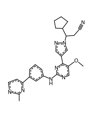 COc1cnc(Nc2cccc(-c3ccnc(C)n3)c2)nc1-c1cnn(C(CC#N)C2CCCC2)c1